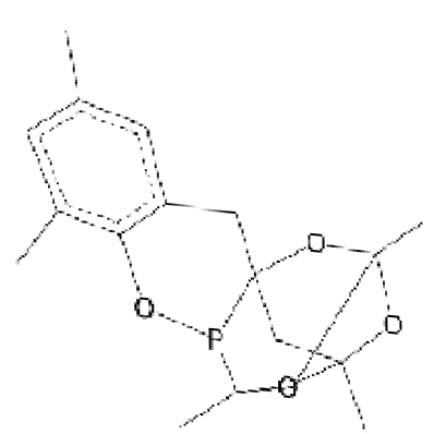 Cc1cc(C)c2c(c1)CC13CC4(C)OC(C)(CC(C)(O4)P1O2)O3